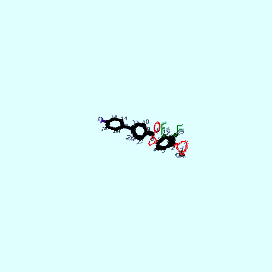 COc1ccc(OC(=O)C2CCC(C3CCC(I)CC3)CC2)c(F)c1F